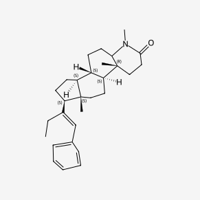 CCC(=Cc1ccccc1)[C@H]1CC[C@H]2[C@@H]3CCC4N(C)C(=O)CC[C@]4(C)[C@H]3CC[C@]12C